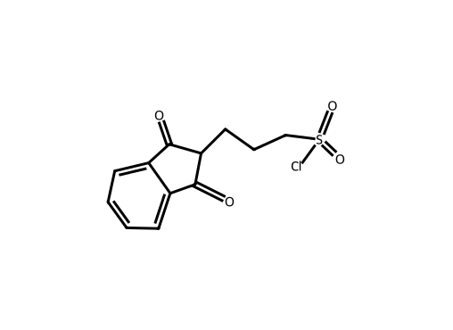 O=C1c2ccccc2C(=O)C1CCCS(=O)(=O)Cl